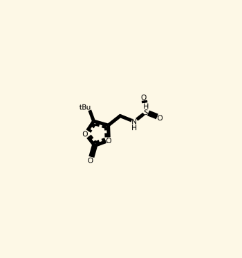 CC(C)(C)c1oc(=O)oc1CN[SH](=O)=O